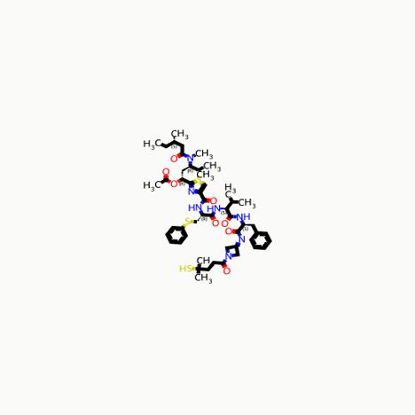 CC[C@H](C)CC(=O)N(C)[C@H](C[C@@H](OC(C)=O)c1nc(C(=O)N[C@@H](CSc2ccccc2)C(=O)N[C@H](C(=O)N[C@@H](Cc2ccccc2)C(=O)N=C2CN(C(=O)CCC(C)(C)S)C2)C(C)C)cs1)C(C)C